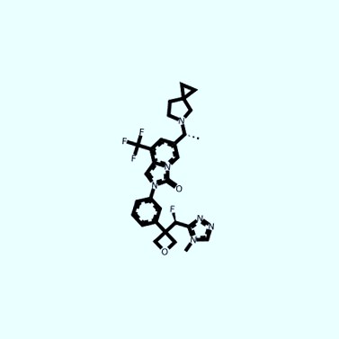 C[C@H](c1cc(C(F)(F)F)c2cn(-c3cccc(C4([C@@H](F)c5nncn5C)COC4)c3)c(=O)n2c1)N1CCC2(CC2)C1